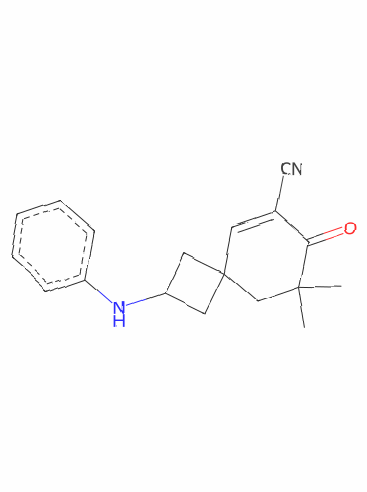 CC1(C)CC2(C=C(C#N)C1=O)CC(Nc1ccccc1)C2